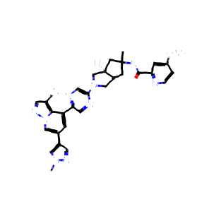 COc1ccnc(C(=O)NC2(C)C[C@H]3CN(c4cnc(-c5cc(-c6cnn(C)c6)cn6ncc(C#N)c56)cn4)C[C@H]3C2)c1